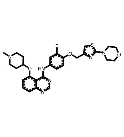 CN1CCC(Oc2cccc3ncnc(Nc4ccc(OCc5csc(N6CCOCC6)n5)c(Cl)c4)c23)CC1